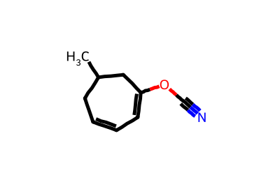 CC1CC=CC=C(OC#N)C1